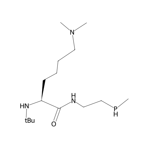 CPCCNC(=O)[C@H](CCCCN(C)C)NC(C)(C)C